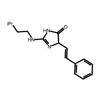 CC(C)CCNC1=NC(/C=C/c2ccccc2)C(=O)N1